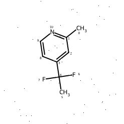 Cc1cc(C(C)(F)F)ccn1